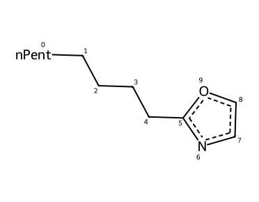 CCCCCCCCCc1ncco1